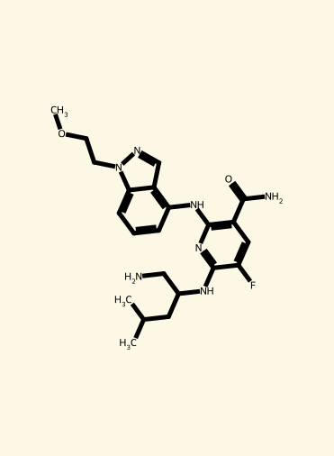 COCCn1ncc2c(Nc3nc(NC(CN)CC(C)C)c(F)cc3C(N)=O)cccc21